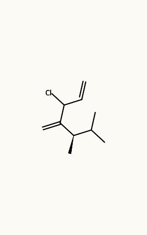 C=CC(Cl)C(=C)[C@H](C)C(C)C